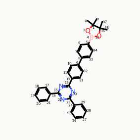 CC1(C)OB(c2ccc(-c3ccc(-c4nc(-c5ccccc5)nc(-c5ccccc5)n4)cc3)cc2)OC1(C)C